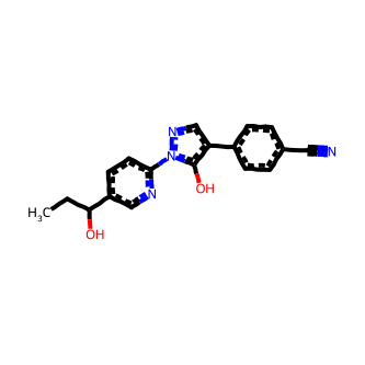 CCC(O)c1ccc(-n2ncc(-c3ccc(C#N)cc3)c2O)nc1